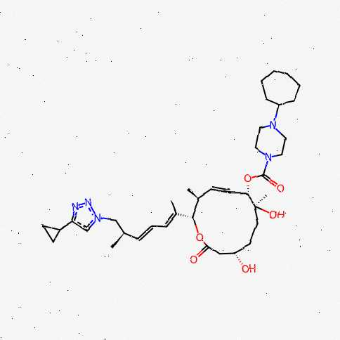 C/C(=C\C=C\[C@@H](C)Cn1cc(C2CC2)nn1)[C@H]1OC(=O)C[C@@H](O)CC[C@](C)(O)[C@@H](OC(=O)N2CCN(C3CCCCCC3)CC2)/C=C/[C@@H]1C